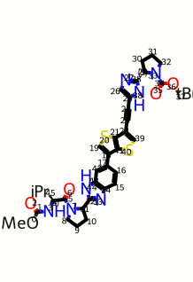 COC(=O)N[C@H](C(=O)N1CCCC1c1nc2ccc(-c3csc4c(C#Cc5cnc([C@@H]6CCCN6C(=O)OC(C)(C)C)[nH]5)csc34)cc2[nH]1)C(C)C